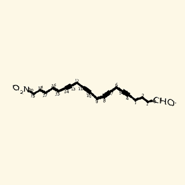 O=[C]CCCC#CCC#CCC#CCC#CCCCCC[N+](=O)[O-]